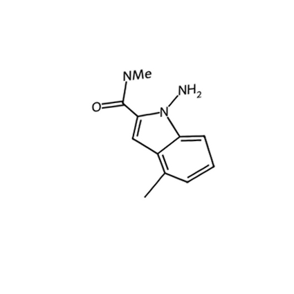 CNC(=O)c1cc2c(C)cccc2n1N